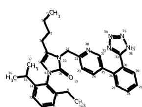 CCCCc1cn(-c2c(CC)cccc2C(C)C)c(=O)n1Cc1ccc(-c2ccccc2-c2nnn[nH]2)cn1